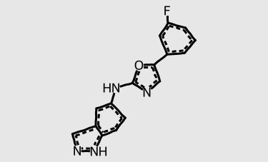 Fc1cccc(-c2cnc(Nc3ccc4[nH]ncc4c3)o2)c1